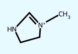 C[N+]1=CNCC1